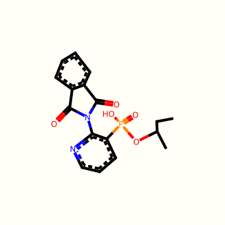 CCC(C)OP(=O)(O)c1cccnc1N1C(=O)c2ccccc2C1=O